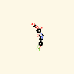 COc1cc(N2CCn3cc(-c4ccc(OC(F)(F)F)cc4)cc3C2=O)ccc1OCC(C)(C)O